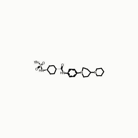 CC(C)(C)S(=O)(=O)N[C@H]1CC[C@H](C(=O)Nc2ccc(N3CCC(N4CCCCC4)CC3)cc2)CC1